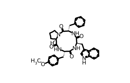 COc1ccc(C[C@@H]2NC(=O)[C@H]3CCCN3C(=O)[C@H](Cc3ccccc3)NC(=O)[C@@H](Cc3c[nH]c4ccccc34)NC2=O)cc1